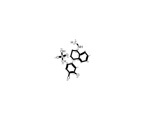 CN[C@H]1CC[C@@H](c2ccc(Cl)c(Cl)c2)c2ccccc21.CS(=O)(=O)O